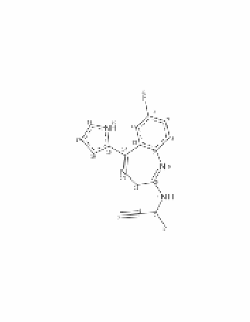 C#CC(C)NC1=Nc2ccc(F)cc2C(c2ccc[nH]2)=NC1